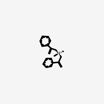 C=C(C[N+](C)(C)CC(=C)c1ccccc1)c1ccccc1